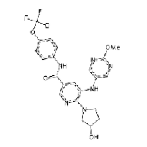 COc1ncc(Nc2cc(C(=O)Nc3ccc(OC(F)(F)Cl)cc3)cnc2N2CCC(O)C2)cn1